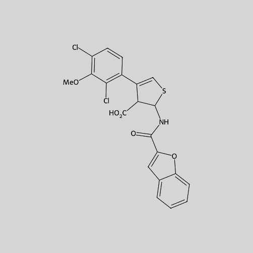 COc1c(Cl)ccc(C2=CSC(NC(=O)c3cc4ccccc4o3)C2C(=O)O)c1Cl